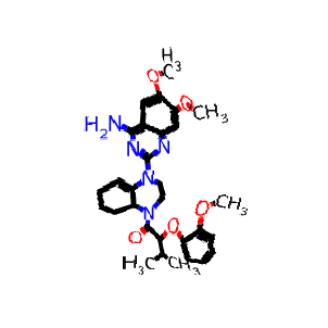 COc1cc2nc(N3CCN(C(=O)C(Oc4ccccc4OC)C(C)C)C4CCCC=C43)nc(N)c2cc1OC